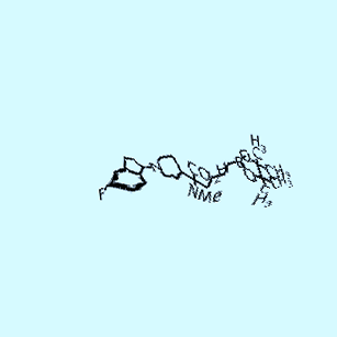 CNC(CCCCB1OC(C)(C)C(C)(C)O1)(C(=O)O)C1CCN(C2CCc3cc(F)ccc32)CC1